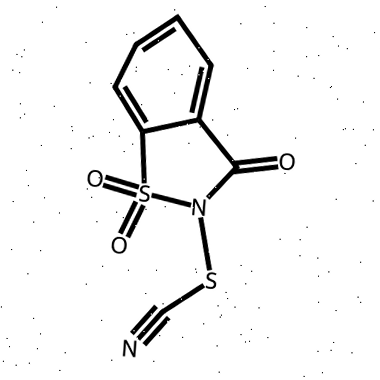 N#CSN1C(=O)c2ccccc2S1(=O)=O